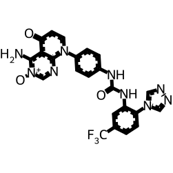 Nc1c2c(=O)ccn(-c3ccc(NC(=O)Nc4cc(C(F)(F)F)ccc4-n4cnnc4)cc3)c2nc[n+]1[O-]